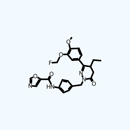 CCC1CC(=O)N(Cc2ccc(NC(=O)c3cnco3)cc2)N=C1c1ccc(OC)c(OCF)c1